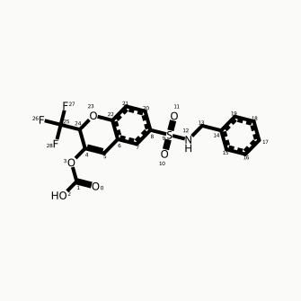 O=C(O)OC1=Cc2cc(S(=O)(=O)NCc3ccccc3)ccc2OC1C(F)(F)F